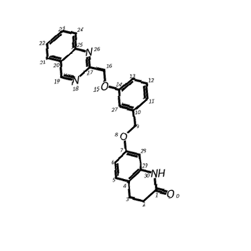 O=C1CCc2ccc(OCc3cccc(OCc4ncc5ccccc5n4)c3)cc2N1